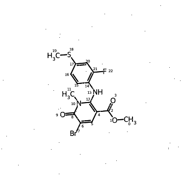 COC(=O)c1cc(Br)c(=O)n(C)c1Nc1ccc(SC)cc1F